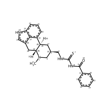 CN1C[C@H](CNC(=S)NC(=O)c2ccccc2)C[C@@H]2c3cccc4[nH]cc(c34)C[C@H]21